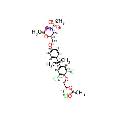 CC(=O)O[C@H](CCl)COc1c(Cl)cc(C(C)(C)c2ccc(OC[C@H](CNS(C)(=O)=O)OC(C)=O)cc2)cc1Cl